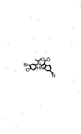 COC(=O)c1c(N(c2ccc(OC)c(Br)c2)C(C)C)[nH]c2cc(C#N)ccc12